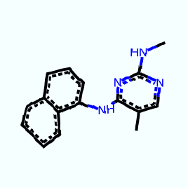 CNc1ncc(C)c(Nc2cccc3ccccc23)n1